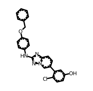 Oc1ccc(Cl)c(-c2ccc3nc(Nc4ccc(OCc5ccccc5)cc4)nn3c2)c1